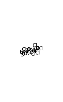 O=C(NC1CCSC1=O)c1cc(NC(=O)[C@@H]2[C@@H](c3cc(Cl)cc(Cl)c3)C2(Cl)Cl)ccc1Cl